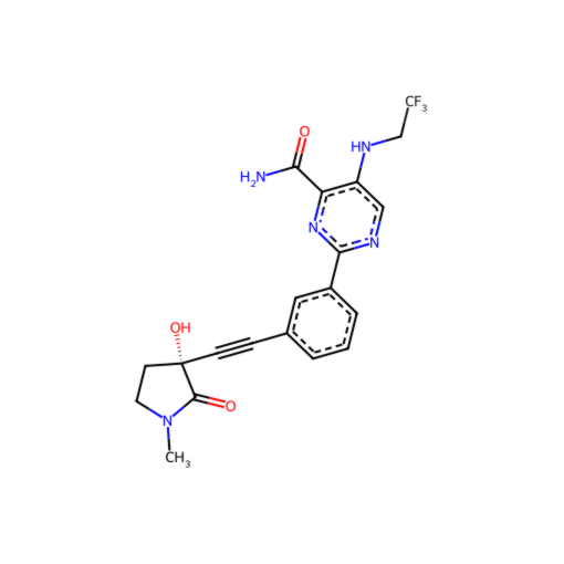 CN1CC[C@@](O)(C#Cc2cccc(-c3ncc(NCC(F)(F)F)c(C(N)=O)n3)c2)C1=O